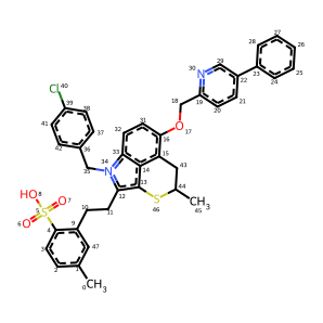 Cc1ccc(S(=O)(=O)O)c(CCc2c3c4c(c(OCc5ccc(-c6ccccc6)cn5)ccc4n2Cc2ccc(Cl)cc2)CC(C)S3)c1